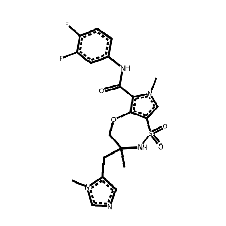 Cn1cncc1CC1(C)COc2c(cn(C)c2C(=O)Nc2ccc(F)c(F)c2)S(=O)(=O)N1